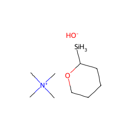 C[N+](C)(C)C.[OH-].[SiH3]C1CCCCO1